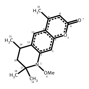 CON1c2cc3oc(=O)cc(C)c3cc2C(C)CC1(C)C